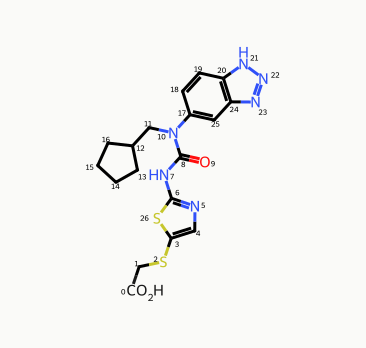 O=C(O)CSc1cnc(NC(=O)N(CC2CCCC2)c2ccc3[nH]nnc3c2)s1